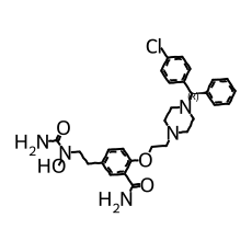 NC(=O)c1cc(CCN(O)C(N)=O)ccc1OCCN1CCN([C@H](c2ccccc2)c2ccc(Cl)cc2)CC1